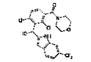 O=C(c1ccc(Cl)c(C(O)c2cc3ccc(C(F)(F)F)cc3[nH]2)c1Cl)N1CCOCC1